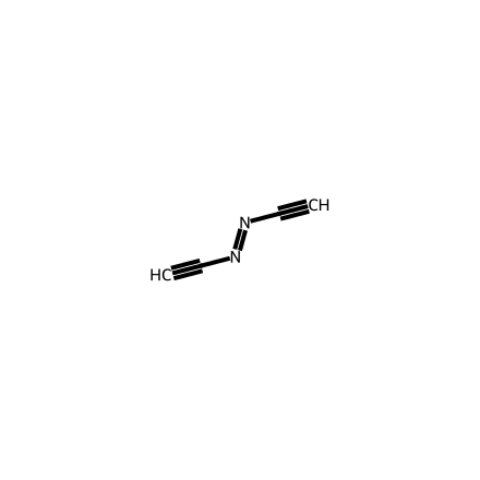 C#CN=NC#C